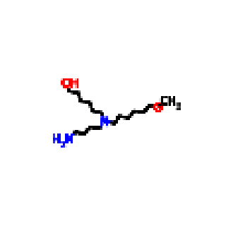 COCCCCCCN(CCCCN)CCCCCCO